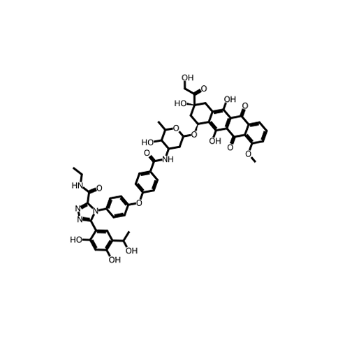 CCNC(=O)c1nnc(-c2cc(C(C)O)c(O)cc2O)n1-c1ccc(Oc2ccc(C(=O)NC3CC(O[C@H]4C[C@](O)(C(=O)CO)Cc5c(O)c6c(c(O)c54)C(=O)c4c(OC)cccc4C6=O)OC(C)C3O)cc2)cc1